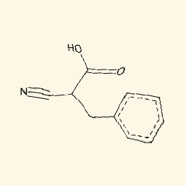 N#CC(Cc1ccccc1)C(=O)O